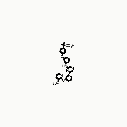 CCOc1cccnc1O[C@@H]1CCCN(c2cncc(Nc3cccc(Oc4ccc(C(C)(C)C(=O)O)cc4)n3)n2)C1